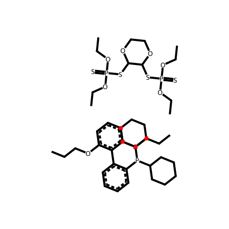 CCCOc1cccc(OCCC)c1-c1ccccc1P(C1CCCCC1)C1CCCCC1.CCOP(=S)(OCC)SC1OCCOC1SP(=S)(OCC)OCC